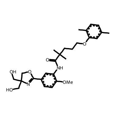 COc1ccc(C2=NC(CO)(CO)CO2)cc1NC(=O)C(C)(C)CCCOc1cc(C)ccc1C